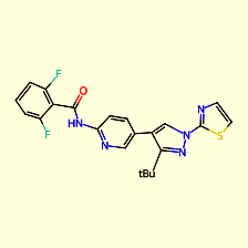 CC(C)(C)c1nn(-c2nccs2)cc1-c1ccc(NC(=O)c2c(F)cccc2F)nc1